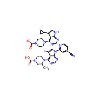 CC1CN(C(=O)O)CCN1c1ncnc2c1c(I)cn2-c1cc(C#N)ccn1.O=C(O)N1CCN(c2ncnc3[nH]cc(C4CC4)c23)CC1